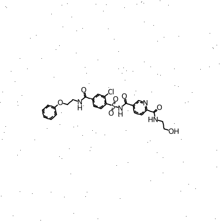 O=C(NCCOc1ccccc1)c1ccc(S(=O)(=O)NC(=O)c2ccc(C(=O)NCCO)nc2)c(Cl)c1